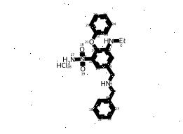 CCNc1cc(CNCc2ccccc2)cc(S(N)(=O)=O)c1Oc1ccccc1.Cl